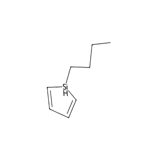 CCCC[SiH]1C=CC=C1